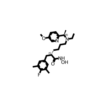 CCN(CCCC[C@@H](Cc1cc(C)c(F)c(C)c1)C(=O)NO)[C@H](C)c1ccc(OC)cn1